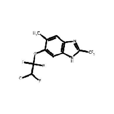 Cc1cc2nc(C(F)(F)F)[nH]c2cc1OC(F)(F)C(F)Cl